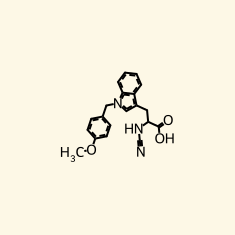 COc1ccc(Cn2cc(CC(NC#N)C(=O)O)c3ccccc32)cc1